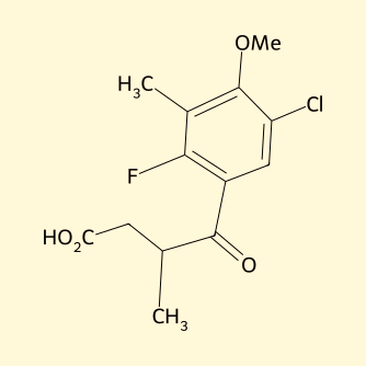 COc1c(Cl)cc(C(=O)C(C)CC(=O)O)c(F)c1C